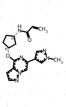 C=CC(=O)N[C@H]1CC[C@@H](Oc2nc(-c3cnn(C)c3)cn3nccc23)C1